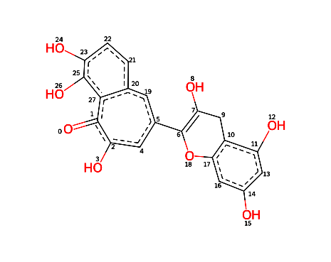 O=c1c(O)cc(C2=C(O)Cc3c(O)cc(O)cc3O2)cc2ccc(O)c(O)c12